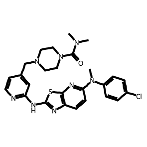 CN(C)C(=O)N1CCN(Cc2ccnc(Nc3nc4ccc(N(C)c5ccc(Cl)cc5)nc4s3)c2)CC1